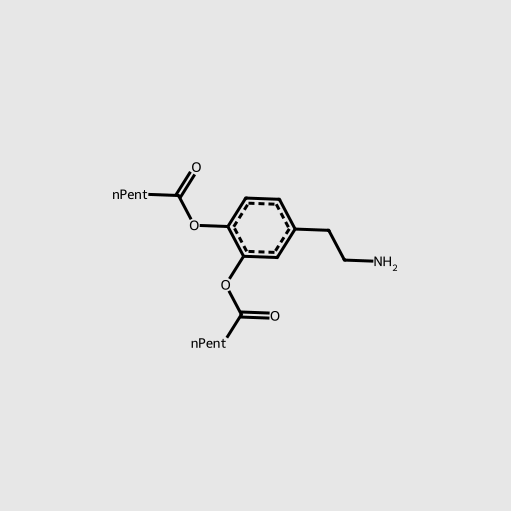 CCCCCC(=O)Oc1ccc(CCN)cc1OC(=O)CCCCC